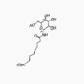 CCCCCCCCCCCCCCCCCC(=O)N[C@@H]1OC(CO)[C@@H](O)C(O)C1O